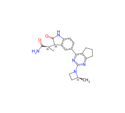 C[C@H]1CCN1c1nc2c(c(-c3ccc4c(c3)[C@]3(C[C@H]3C(N)=O)C(=O)N4)n1)CCC2